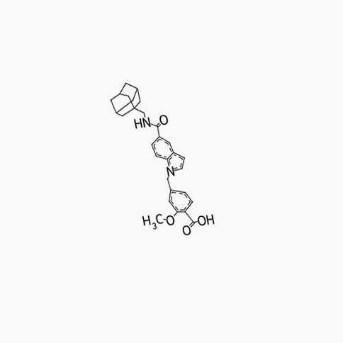 COc1cc(Cn2ccc3cc(C(=O)NCC45CC6CC(CC(C6)C4)C5)ccc32)ccc1C(=O)O